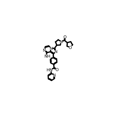 Nc1nccn2c(C3CCN(C(=O)C4CCOC4)C3)nc(-c3ccc(C(=O)Nc4ccccn4)cc3)c12